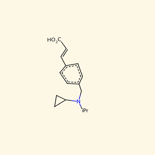 CC(C)N(Cc1ccc(/C=C/C(=O)O)cc1)C1CC1